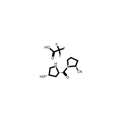 N#C[C@@H]1CCCN1C(=O)[C@@H]1C[C@H](O)CN1.O=C(O)C(F)(F)F